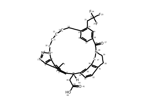 Cc1c2ccc3c1nnn3CCCCCc1ccc(cc1CC(F)(F)F)C(=O)N1CCc3ccc(cc3C1)[C@@H]2CC(=O)O